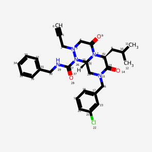 C#CCN1CC(=O)N2[C@@H](CC(C)C)C(=O)N(Cc3cccc(Cl)c3)C[C@@H]2N1C(=O)NCc1ccccc1